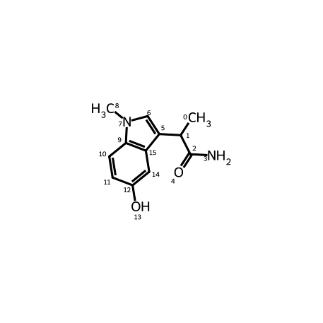 CC(C(N)=O)c1cn(C)c2ccc(O)cc12